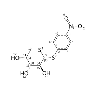 O=[N+]([O-])c1ccc(S[C@H]2SC[C@@H](O)[C@@H](O)[C@@H]2O)cc1